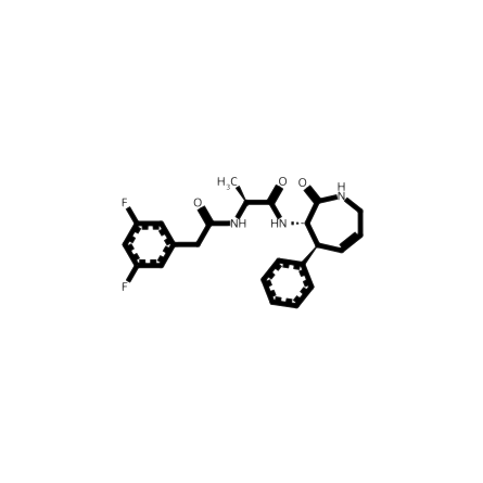 C[C@H](NC(=O)Cc1cc(F)cc(F)c1)C(=O)N[C@@H]1C(=O)NCC=C[C@H]1c1ccccc1